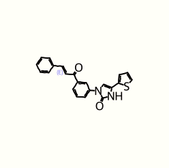 O=C(/C=C/c1ccccc1)c1cccc(-n2cc(-c3cccs3)[nH]c2=O)c1